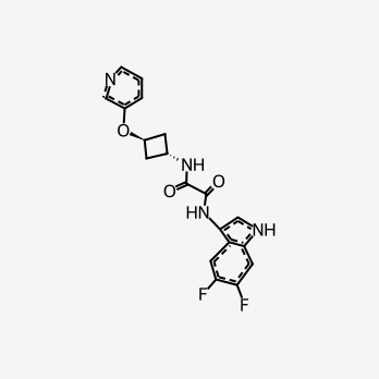 O=C(Nc1c[nH]c2cc(F)c(F)cc12)C(=O)N[C@H]1C[C@H](Oc2cccnc2)C1